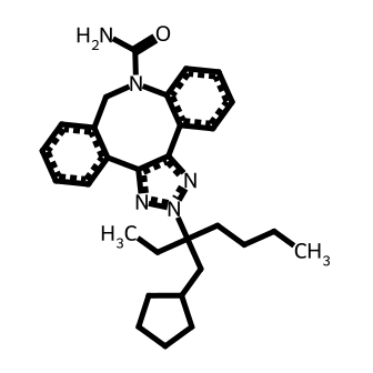 CCCCC(CC)(CC1CCCC1)n1nc2c(n1)-c1ccccc1N(C(N)=O)Cc1ccccc1-2